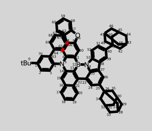 CC(C)(C)c1ccc(N2c3cc4c(cc3B3c5c2cc2ccccc2c5-c2cc(C56CC7CC(CC(C7)C5)C6)cc5c6cc(C78CC9CC(CC(C9)C7)C8)ccc6n3c25)oc2ccccc24)c(-c2ccccc2)c1